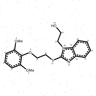 COc1cccc(OC)c1OCCSc1nc2ccccc2n1CCO